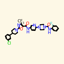 O=C(Nc1ccc(N2CCN(C(=O)Nc3ccccc3F)CC2)nc1)c1oc(N2CCC(c3cccc(Cl)c3)CC2)nc1C(F)(F)F